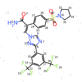 NC(=O)/C(=C/n1cnc(-c2cc(C(F)(F)F)cc(C(F)(F)F)c2)n1)c1ccc(S(=O)(=O)N2CCCC2)cc1